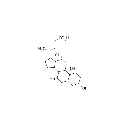 C[C@H](CCC(=O)O)C1CCC2C3C(=O)CC4C[C@@H](O)CC[C@]4(C)C3CC[C@@]21C